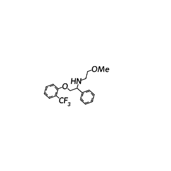 COCCNC(COc1ccccc1C(F)(F)F)c1ccccc1